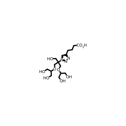 O=C(O)CCCc1cn(C(CO)(COC(CO)CO)COC(CO)CO)nn1